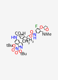 CNCc1cc(NC(=O)OCC(C)c2ccc(C(Nc3ccc4c(N(C(=O)OC(C)(C)C)C(=O)OC(C)(C)C)nccc4c3)C(=O)O)cc2C)cc(F)c1OC1CCOC1